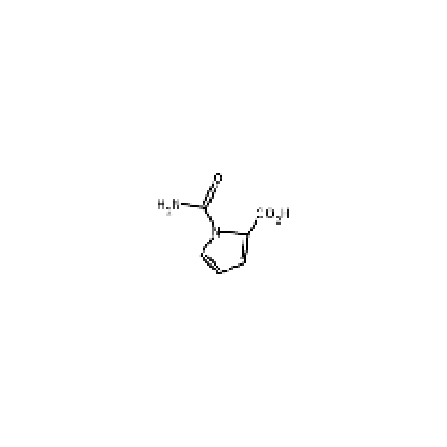 NC(=O)n1cccc1C(=O)O